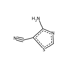 N#Cc1scnc1N